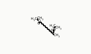 CCC(CCCCCCCCCCCCC(=O)OCC(C)C)CC(=O)OCC(C)C